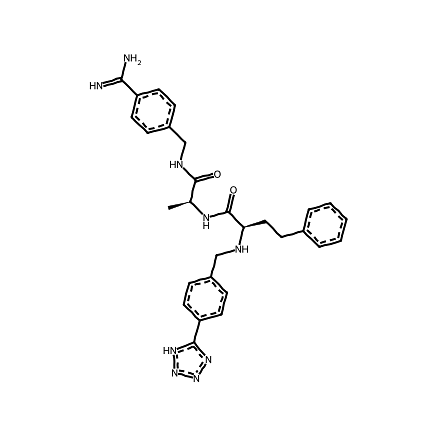 C[C@H](NC(=O)[C@@H](CCc1ccccc1)NCc1ccc(-c2nnn[nH]2)cc1)C(=O)NCc1ccc(C(=N)N)cc1